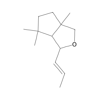 CC=CC1OCC2(C)CCC(C)(C)C12